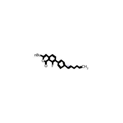 C=CCC/C=C/c1ccc(-c2ccc3cc(CCCC)oc(=O)c3c2F)cc1